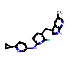 Cc1cnc2[nH]cc(Cc3ccc(Nc4ccc(C5CC5)nc4)nc3F)c2c1